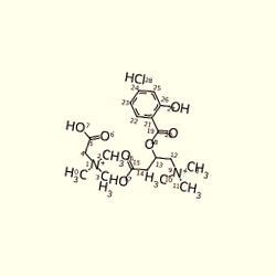 C[N+](C)(C)CC(=O)O.C[N+](C)(C)CC(CC(=O)O)OC(=O)c1ccccc1O.Cl